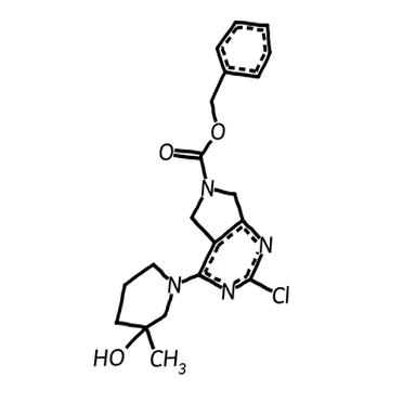 CC1(O)CCCN(c2nc(Cl)nc3c2CN(C(=O)OCc2ccccc2)C3)C1